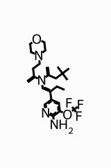 C=C(CCN1CCOCC1)N(/C=C(\CC)c1cnc(N)c(OC(F)(F)F)c1)C(=C)CC(C)(C)C